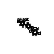 CCCCCCCOc1ccc(-c2ccc(OC(=O)C3(C#N)CCCC(Cl)C3)cc2)cc1